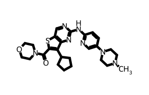 CN1CCN(c2ccc(Nc3ncc4sc(C(=O)N5CCOCC5)c(C5CCCC5)c4n3)nc2)CC1